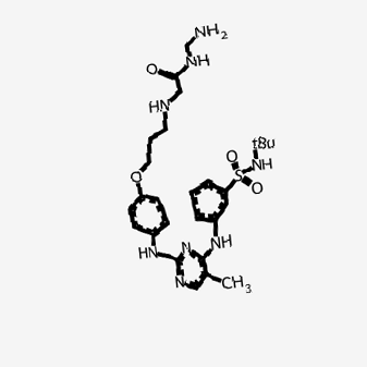 Cc1cnc(Nc2ccc(OCCCNCC(=O)NCN)cc2)nc1Nc1cccc(S(=O)(=O)NC(C)(C)C)c1